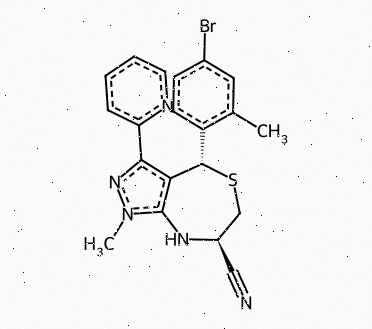 Cc1cc(Br)ccc1[C@@H]1SC[C@@H](C#N)Nc2c1c(-c1ccccn1)nn2C